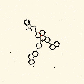 c1ccc(-c2ccc(-c3cccc4ccccc34)cc2N(c2ccc(-c3ccc4c(ccc5ccccc54)c3)cc2)c2ccc(-c3ccc4c(c3)oc3ccccc34)cc2)cc1